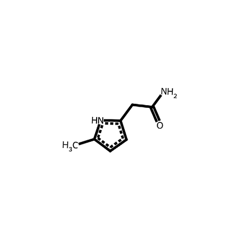 Cc1ccc(CC(N)=O)[nH]1